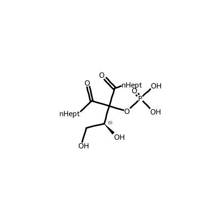 CCCCCCCC(=O)C(OP(=O)(O)O)(C(=O)CCCCCCC)[C@@H](O)CO